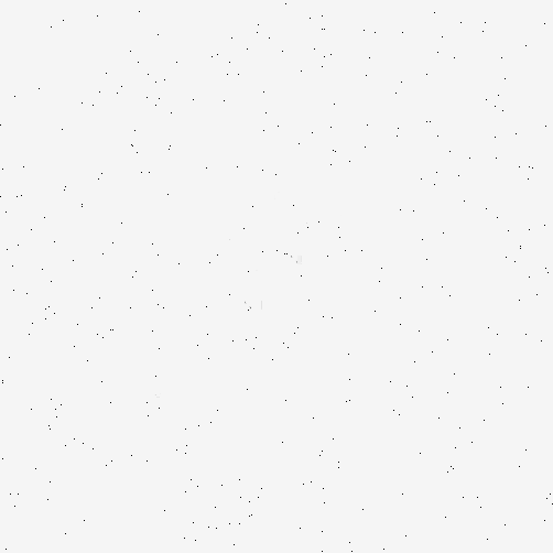 Cc1ccccc1C(=O)NC(=S)Nc1cccc(Br)c1